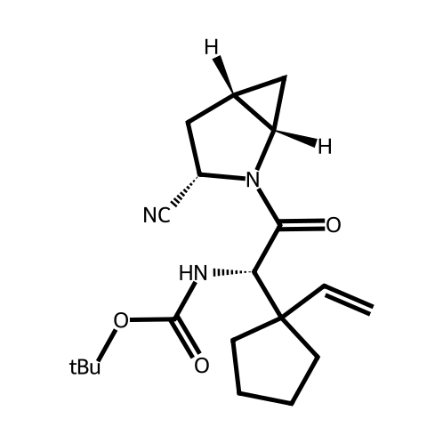 C=CC1([C@H](NC(=O)OC(C)(C)C)C(=O)N2[C@H](C#N)C[C@@H]3C[C@@H]32)CCCC1